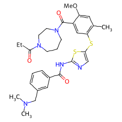 CCC(=O)N1CCCN(C(=O)c2cc(Sc3cnc(NC(=O)c4cccc(CN(C)C)c4)s3)c(C)cc2OC)CC1